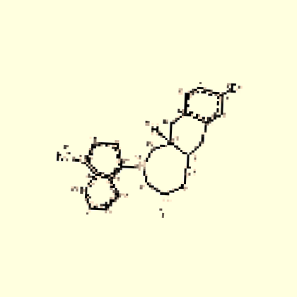 C[C@H]1CCC2Cc3cc(Br)ccc3C[C@H]2CN(c2ccc(C#N)c3ncccc23)C1